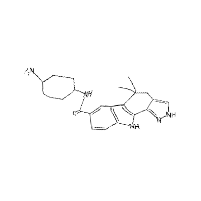 CC1(C)Cc2c[nH]nc2-c2[nH]c3ccc(C(=O)NC4CCC(N)CC4)cc3c21